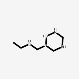 CCBCN1BNCBC1